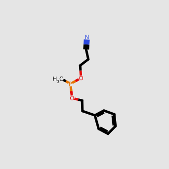 CP(OCCC#N)OCCc1ccccc1